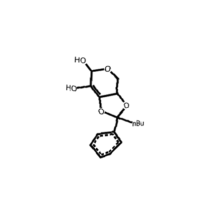 CCCCC1(c2ccccc2)OC2=C(O)C(O)OCC2O1